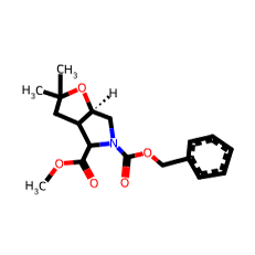 COC(=O)C1C2CC(C)(C)O[C@H]2CN1C(=O)OCc1ccccc1